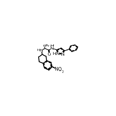 CCC[C@H](NC1CCc2ccc([N+](=O)[O-])cc2C1)C(=O)Nc1cc(-c2ccccc2)n[nH]1